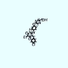 CCn1c(=O)[nH]/c(=N\c2ccc(Oc3cnc(CO)cn3)cc2)n(Cc2ccc(Cl)cc2)c1=O